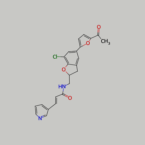 CC(=O)c1ccc(-c2cc(Cl)c3c(c2)CC(CNC(=O)C=Cc2cccnc2)O3)o1